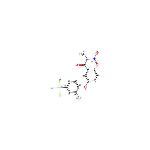 CC(C(=O)c1cccc(Oc2ccc(C(F)(F)F)cc2Cl)c1)[N+](=O)[O-]